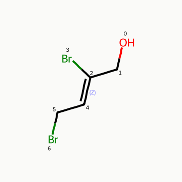 OC/C(Br)=C/CBr